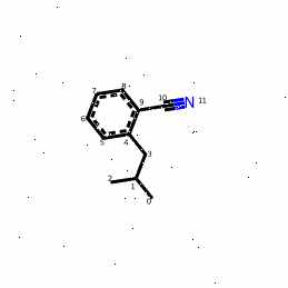 CC(C)Cc1ccccc1C#N